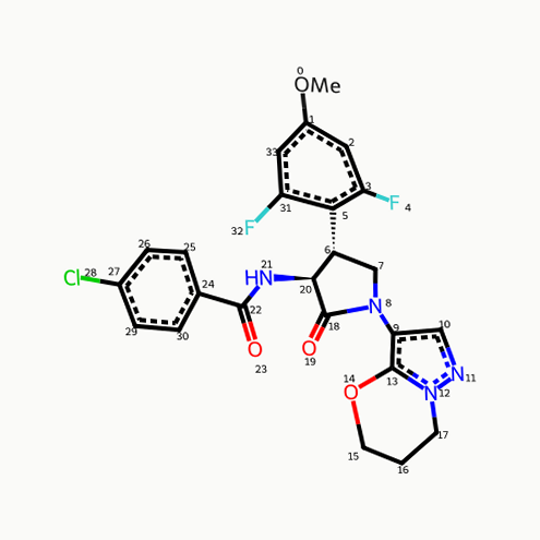 COc1cc(F)c([C@@H]2CN(c3cnn4c3OCCC4)C(=O)[C@H]2NC(=O)c2ccc(Cl)cc2)c(F)c1